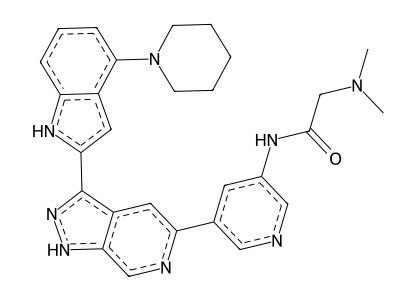 CN(C)CC(=O)Nc1cncc(-c2cc3c(-c4cc5c(N6CCCCC6)cccc5[nH]4)n[nH]c3cn2)c1